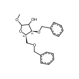 COC1O[C@H](COCc2ccccc2)[C@H](OCc2ccccc2)C1O